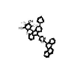 Oc1c(O)c(O)c(-c2c3ccccc3c(-c3cnc(-c4cc5c6ccccc6ccc5c5ccccc45)nc3)c3ccc(-c4ccccc4)cc23)c(O)c1O